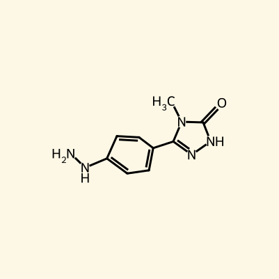 Cn1c(-c2ccc(NN)cc2)n[nH]c1=O